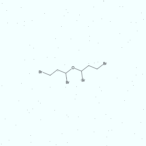 BrCCC(Br)OC(Br)CCBr